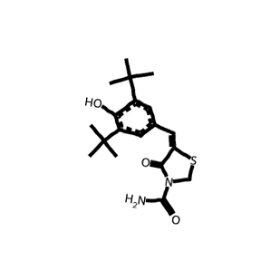 CC(C)(C)c1cc(C=C2SCN(C(N)=O)C2=O)cc(C(C)(C)C)c1O